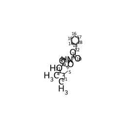 CCC(CC)C[C@@H](ONC(=O)OCc1ccccc1)C(=O)O